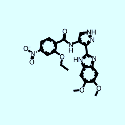 CCOc1cc([N+](=O)[O-])ccc1C(=O)Nc1c[nH]nc1-c1nc2cc(OC)c(OC)cc2[nH]1